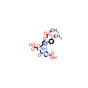 CCOC(=O)COc1cc(C(=O)N[C@@H](CCC(=O)O)C(=O)N2CCN(C(=O)O)CC2)nn1-c1cccc(OC)c1